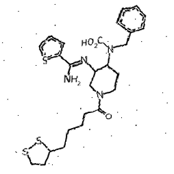 NC(=NC1CN(C(=O)CCCCC2CCSS2)CCC1N(Cc1ccccc1)C(=O)O)c1cccs1